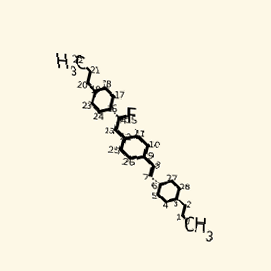 CCC[C@H]1CC[C@H](CCC2CCC(CC(F)[C@H]3CC[C@H](CCC)CC3)CC2)CC1